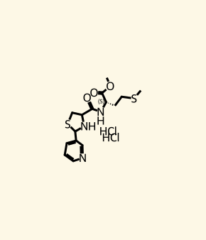 COC(=O)[C@H](CCSC)NC(=O)C1CSC(c2cccnc2)N1.Cl.Cl